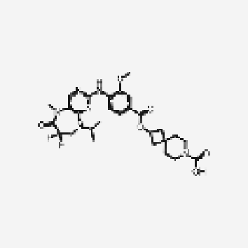 COc1cc(C(=O)OC2CC3(CCN(C(=O)O)CC3)C2)ccc1Nc1ncc2c(n1)N(C(C)C)CC(F)(F)C(=O)N2C